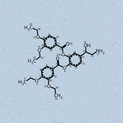 CCOc1ccc(C(=O)Oc2ccc(C(O)CN)cc2OC(=O)c2ccc(OCC)c(OCC)c2)cc1OCC